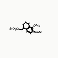 CCOC(=O)CC1=CCCc2c1ccc(OC)c2OC